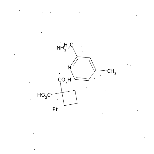 Cc1ccnc(C)c1.N.O=C(O)C1(C(=O)O)CCC1.[Pt]